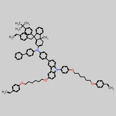 C=Cc1ccc(CC2(c3ccc(C(C)(C)C)cc3)C3=CC(N(c4ccc(-c5ccccc5)cc4)c4ccc(-c5ccc6c(c5)c5cc(OCCCCCCOc7ccc(C=C)cc7)ccc5n6-c5ccc(OCCCCCCOc6ccc(C=C)cc6)cc5)cc4)=CCC3(C)c3ccccc32)cc1